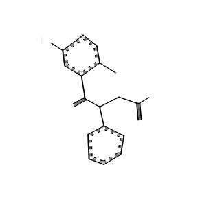 O=C(O)CC(C(=O)c1cc(O)ccc1O)c1ccccc1